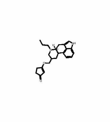 CCCN1CC(COC2=CC(=O)CC2)CC2c3cccc4[nH]cc(c34)C[C@H]21